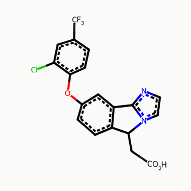 O=C(O)CC1c2ccc(Oc3ccc(C(F)(F)F)cc3Cl)cc2-c2nccn21